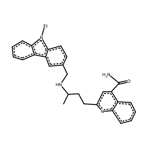 CCn1c2ccccc2c2cc(CNC(C)CCc3cc(C(N)=O)c4ccccc4n3)ccc21